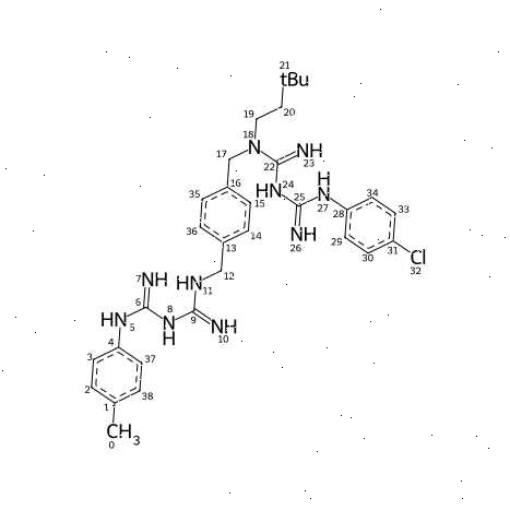 Cc1ccc(NC(=N)NC(=N)NCc2ccc(CN(CCC(C)(C)C)C(=N)NC(=N)Nc3ccc(Cl)cc3)cc2)cc1